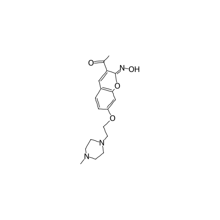 CC(=O)c1cc2ccc(OCCN3CCN(C)CC3)cc2oc1=NO